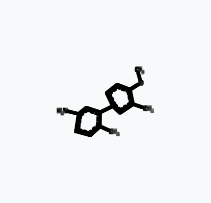 Cc1cc(-c2cc(N)ccc2C)ccc1OC(F)(F)F